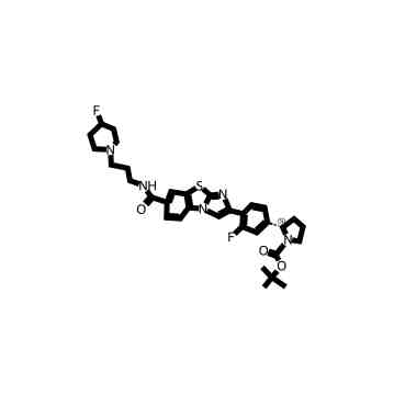 CC(C)(C)OC(=O)N1CCC[C@H]1c1ccc(-c2cn3c(n2)sc2cc(C(=O)NCCCN4CCC(F)CC4)ccc23)c(F)c1